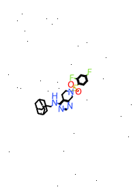 O=S(=O)(c1ccc(F)cc1F)N1CCc2c(ncnc2NCC23CC4CC(CC(C4)C2)C3)C1